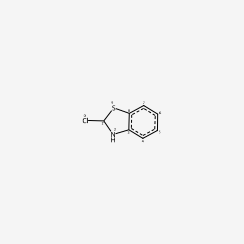 Cl[C]1Nc2ccccc2S1